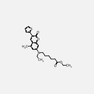 CCOC(=O)CCCCCN(CC)c1cc(C)c2cc(-c3cccs3)c(=O)oc2c1